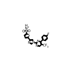 NS(=O)(=O)c1ccc(-c2cn(-c3ncc(C(F)(F)F)c(-c4ccc(F)cc4)n3)cn2)s1